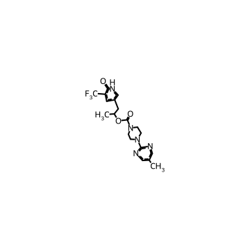 Cc1cnc(N2CCN(C(=O)OC(C)Cc3c[nH]c(=O)c(C(F)(F)F)c3)CC2)nc1